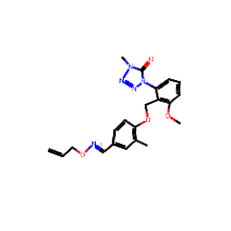 C=CCO/N=C/c1ccc(OCc2c(OC)cccc2-n2nnn(C)c2=O)c(C)c1